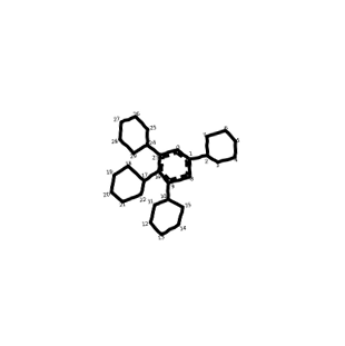 c1c(C2CCCCC2)cc(C2CCCCC2)c(C2CCCCC2)c1C1CCCCC1